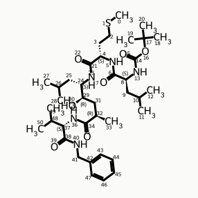 CSCC[C@H](NC(=O)[C@H](CC(C)C)NC(=O)OC(C)(C)C)C(=O)N[C@@H](CC(C)C)[C@H](O)C[C@@H](C)C(=O)N[C@H](C(=O)NCc1ccccc1)C(C)C